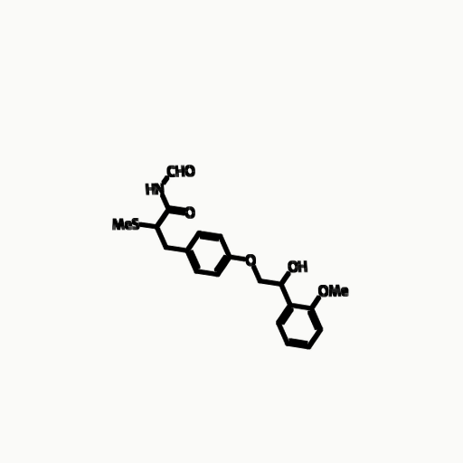 COc1ccccc1C(O)COc1ccc(CC(SC)C(=O)NC=O)cc1